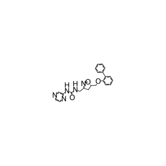 O=C(NCC1=NOC(COc2ccccc2-c2ccccc2)C1)Nc1cnccn1